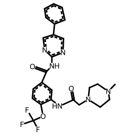 CN1CCN(CC(=O)Nc2cc(C(=O)Nc3ncc(-c4ccccc4)cn3)ccc2OC(F)(F)F)CC1